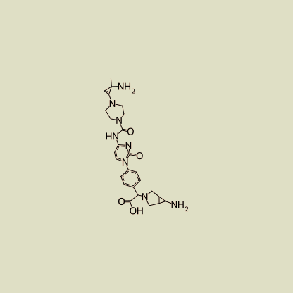 CC1(N)C=C1N1CCN(C(=O)Nc2ccn(-c3ccc(C(C(=O)O)N4CC5C(N)C5C4)cc3)c(=O)n2)CC1